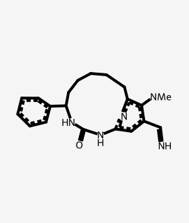 CNc1c(C=N)cc2nc1CCCCCC(c1ccccc1)NC(=O)N2